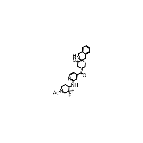 CC(=O)N1CCC(Nc2cc(C(=O)N3CC[C@]4(Cc5ccccc5CN4)[C@H](O)C3)ccn2)C(F)(F)C1